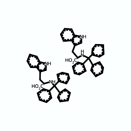 O=C(O)C(Cc1c[nH]c2ccccc12)NC(c1ccccc1)(c1ccccc1)c1ccccc1.O=C(O)C(Cc1c[nH]c2ccccc12)NC(c1ccccc1)(c1ccccc1)c1ccccc1